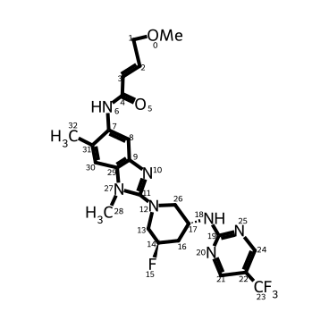 COC/C=C/C(=O)Nc1cc2nc(N3C[C@H](F)C[C@@H](Nc4ncc(C(F)(F)F)cn4)C3)n(C)c2cc1C